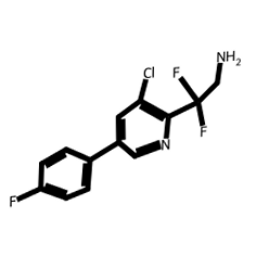 NCC(F)(F)c1ncc(-c2ccc(F)cc2)cc1Cl